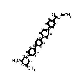 CCOC(=O)c1ccc(N2CCN(c3ccc(-c4ccc(N5C[C@@H](C)O[C@@H](C)C5)cc4)cc3)CC2)cc1